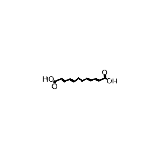 O=C(O)/C=C/C=C/CC/C=C/C=C/C(=O)O